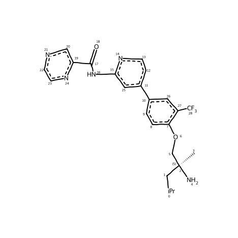 CC(C)C[C@](C)(N)COc1ccc(-c2ccnc(NC(=O)c3cnccn3)c2)cc1C(F)(F)F